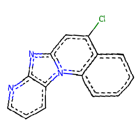 Clc1cc2nc3ncccc3n2c2ccccc12